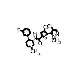 CN1CC[C@@H](c2cccc(F)c2)[C@H](NC(=O)c2cc(Cl)c(-c3c(Cl)cnn3C)s2)C1